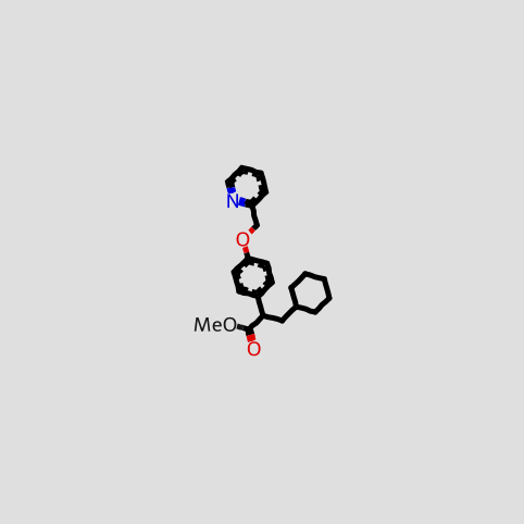 COC(=O)C(CC1CCCCC1)c1ccc(OCc2ccccn2)cc1